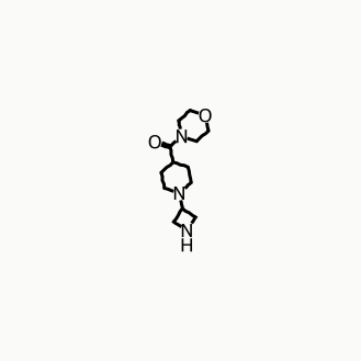 O=C(C1CCN(C2CNC2)CC1)N1CCOCC1